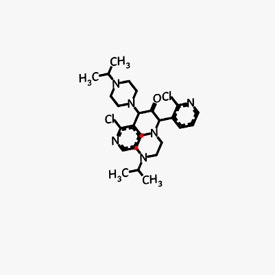 CC(C)N1CCN(C(C(=O)C(c2cccnc2Cl)N2CCN(C(C)C)CC2)c2cccnc2Cl)CC1